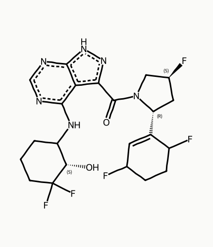 O=C(c1n[nH]c2ncnc(NC3CCCC(F)(F)[C@H]3O)c12)N1C[C@@H](F)C[C@@H]1C1=CC(F)CCC1F